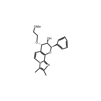 COCCO[C@H]1c2ccn3c(C)c(C)nc3c2O[C@H](c2ccccc2)[C@@H]1O